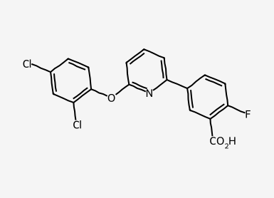 O=C(O)c1cc(-c2cccc(Oc3ccc(Cl)cc3Cl)n2)ccc1F